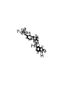 CS(=O)(=O)NCC1CCN(c2nc(Nc3ccc4c(c3)CC(=O)N4)ncc2C(F)(F)F)CC1